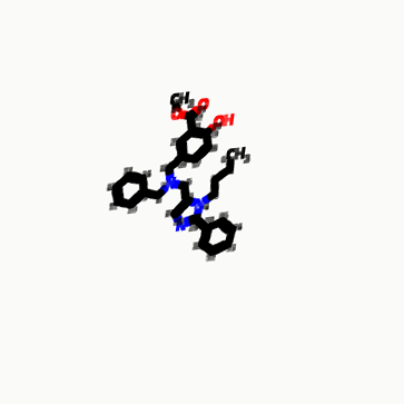 CCCCn1c(CN(Cc2ccccc2)Cc2ccc(O)c(C(=O)OC)c2)cnc1-c1ccccc1